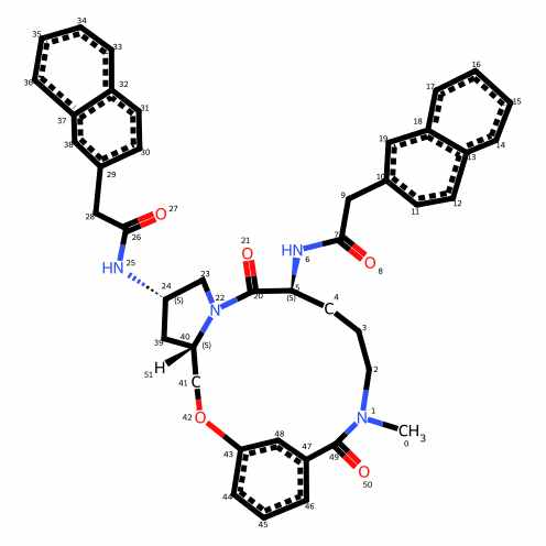 CN1CCC[C@H](NC(=O)Cc2ccc3ccccc3c2)C(=O)N2C[C@@H](NC(=O)Cc3ccc4ccccc4c3)C[C@H]2COc2cccc(c2)C1=O